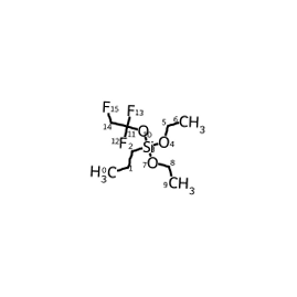 CCC[Si](OCC)(OCC)OC(F)(F)CF